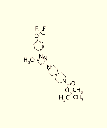 Cc1cc(N2CCC3(CCN(C(=O)OC(C)(C)C)CC3)CC2)nn1-c1ccc(OC(F)(F)F)cc1